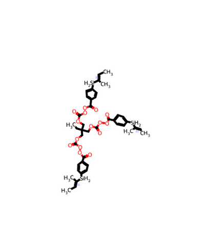 C/C=C(\C)[SiH2]c1ccc(C(=O)OOC(=O)OCC(CC)(COC(=O)OOC(=O)c2ccc([SiH2]/C(C)=C/C)cc2)COC(=O)OOC(=O)c2ccc([SiH2]/C(C)=C/C)cc2)cc1